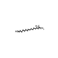 CC(C)CCCCCCCCCCCCCCCS